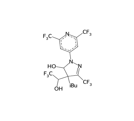 CCC(C)C1(C(O)C(F)(F)F)C(C(F)(F)F)=NN(c2cc(C(F)(F)F)nc(C(F)(F)F)c2)C1O